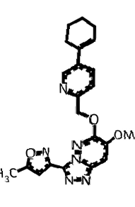 COc1cc2nnc(-c3cc(C)on3)n2nc1OCc1ccc(C2=CCCCC2)cn1